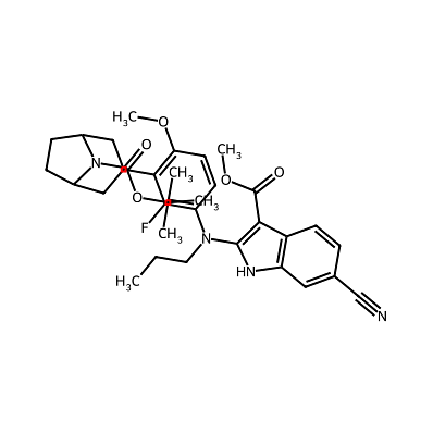 CCCN(c1ccc(OC)c(C2CC3CCC(C2)N3C(=O)OC(C)(C)C)c1F)c1[nH]c2cc(C#N)ccc2c1C(=O)OC